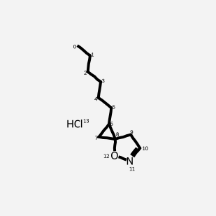 CCCCCCC1CC12CC=NO2.Cl